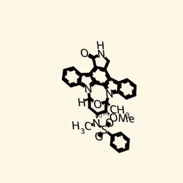 CO[C@@H]1[C@H](N(C)S(=O)(=O)c2ccccc2)C[C@H]2O[C@]1(C)n1c3ccccc3c3c4c(c5c6ccccc6n2c5c31)C(=O)NC4